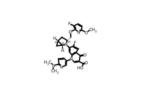 COc1ccc(F)c(OC[C@H]2C[C@H]3C[C@H]3N2c2cc3c(cc2F)c(=O)c(C(=O)O)cn3-c2ccc(N(C)C)nc2)n1